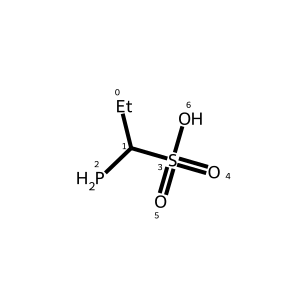 CCC(P)S(=O)(=O)O